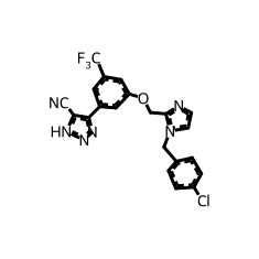 N#Cc1[nH]nnc1-c1cc(OCc2nccn2Cc2ccc(Cl)cc2)cc(C(F)(F)F)c1